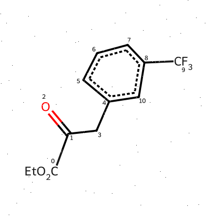 CCOC(=O)C(=O)Cc1cccc(C(F)(F)F)c1